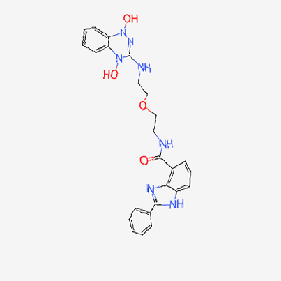 O=C(NCCOCCNC1=NN(O)c2ccccc2N1O)c1cccc2[nH]c(-c3ccccc3)nc12